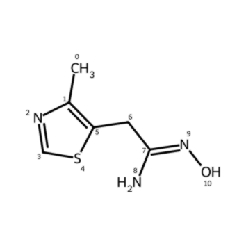 Cc1ncsc1C/C(N)=N/O